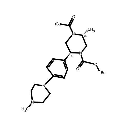 C[C@@H]1CN(C(=O)OC(C)(C)C)[C@@H](c2ccc(N3CCN(C)CC3)cc2)CN1C(=O)C(C)(C)C